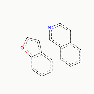 c1ccc2cnccc2c1.c1ccc2occc2c1